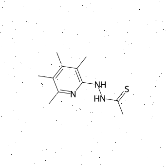 CC(=S)NNc1nc(C)c(C)c(C)c1C